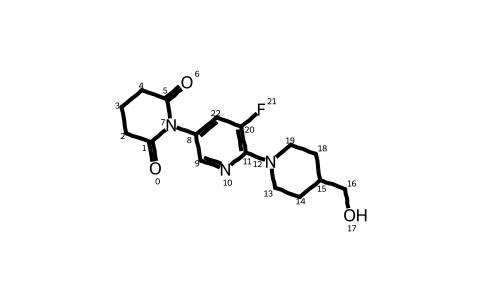 O=C1CCCC(=O)N1c1cnc(N2CCC(CO)CC2)c(F)c1